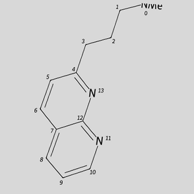 CNCCCc1ccc2cccnc2n1